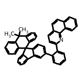 CC1(C)c2ccccc2C2(c3ccccc3-c3cc(-c4ccccc4-c4ccc5ccc6ccccc6c5n4)ccc32)c2ccccc21